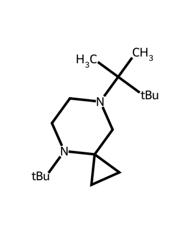 CC(C)(C)N1CCN(C(C)(C)C(C)(C)C)CC12CC2